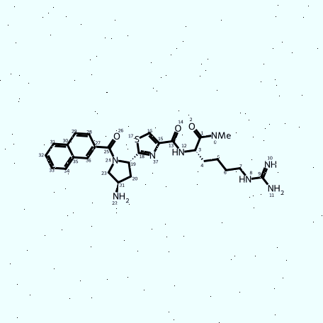 CNC(=O)[C@H](CCCCNC(=N)N)NC(=O)c1csc([C@@H]2C[C@@H](N)CN2C(=O)c2ccc3ccccc3c2)n1